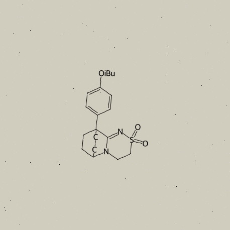 CC(C)COc1ccc(C23CCC(CC2)N2CCS(=O)(=O)N=C23)cc1